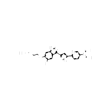 COCCOc1cc2[nH]nc(-c3cc(-c4ccc(N(C)C)cn4)no3)c2cc1F